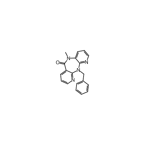 CN1C(=O)c2cccnc2N(Cc2ccccc2)c2ncccc21